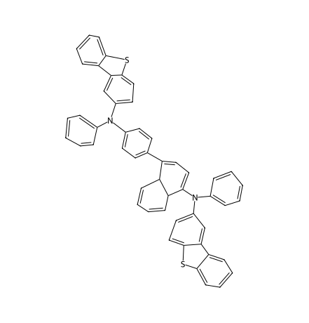 C1=CC2C(c3ccc(N(c4ccccc4)c4ccc5sc6ccccc6c5c4)cc3)=CC=C(N(c3ccccc3)c3ccc4sc5ccccc5c4c3)C2C=C1